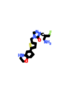 NC/C(=C/F)Cn1ncn(Cc2ccc(-c3ccc4c(c3)NCCO4)s2)c1=O